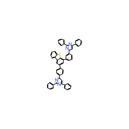 c1ccc(-c2cc(-c3ccc(-c4cc(-c5cccc(-c6cc(-c7ccccc7)nc(-c7ccccc7)n6)c5)c5sc6ccccc6c5c4)cc3)nc(-c3ccccc3)n2)cc1